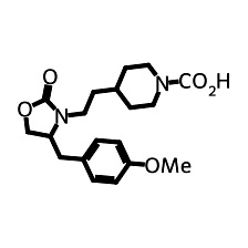 COc1ccc(CC2COC(=O)N2CCC2CCN(C(=O)O)CC2)cc1